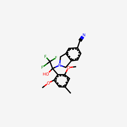 COc1cc(C)cc(OC)c1C(O)(N1Cc2ccc(C#N)cc2C1)C(F)(F)F